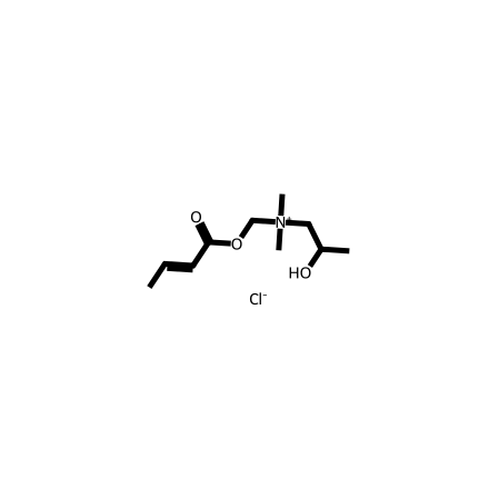 CC=CC(=O)OC[N+](C)(C)CC(C)O.[Cl-]